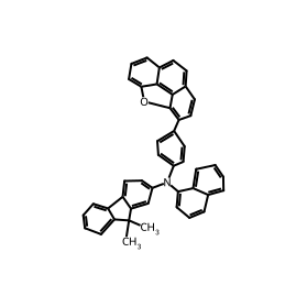 CC1(C)c2ccccc2-c2ccc(N(c3ccc(-c4ccc5ccc6cccc7oc4c5c67)cc3)c3cccc4ccccc34)cc21